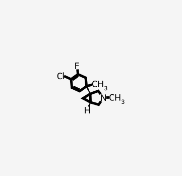 CN1C[C@@H]2C[C@]2(C2(C)C=CC(Cl)=C(F)C2)C1